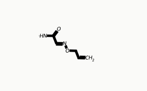 C=CCON=CC([NH])=O